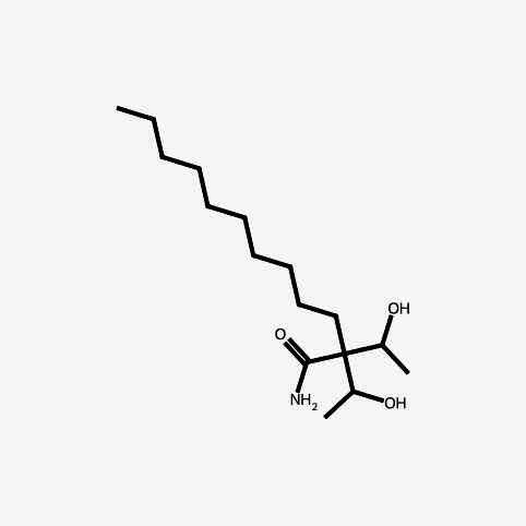 CCCCCCCCCCC(C(N)=O)(C(C)O)C(C)O